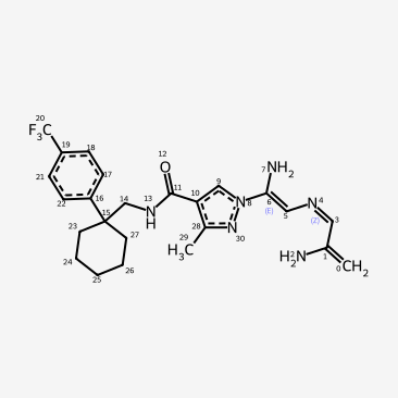 C=C(N)/C=N\C=C(/N)n1cc(C(=O)NCC2(c3ccc(C(F)(F)F)cc3)CCCCC2)c(C)n1